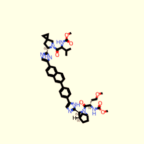 COCC[C@H](NC(=O)OC)C(=O)N1C2CC[C@@H](C2)[C@H]1c1ncc(-c2ccc(-c3ccc4cc(-c5cnc([C@@H]6CC7(CC7)CN6C(=O)C(NC(=O)OC)C(C)C)[nH]5)ccc4c3)cc2)[nH]1